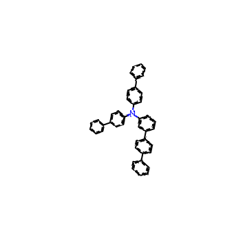 c1ccc(-c2ccc(-c3cccc(N(c4ccc(-c5ccccc5)cc4)c4ccc(-c5ccccc5)cc4)c3)cc2)cc1